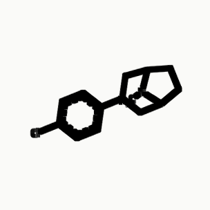 CN1C2CCC1CC(c1ccc(Cl)cc1)C2